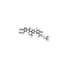 CCN(CC)CCCOC(=O)N1N=C(c2ccc3c(c2)C(C)(C)CCN3C(=O)c2ccc(O)c(OC)c2)C(C)SC1=O